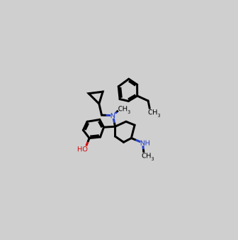 CCc1ccccc1.CNC1CCC(c2cccc(O)c2)(N(C)CC2CC2)CC1